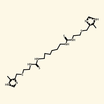 Cc1[nH]cnc1CSCCNC(=S)NCCCCCCNC(=S)NCCSCc1nc[nH]c1C